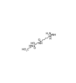 N=C(N)NCCCCCCC(=O)NCCC(O)C(=O)NCCC(=O)O